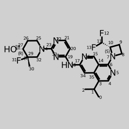 CC(C)c1cnc(N2CC[C@H]2C(F)F)c2cnc(Nc3ccnc(N4CC[C@@H](O)[C@@](C)(F)C4)n3)cc12